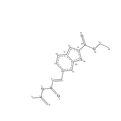 C=C(C)OC(=O)/C=C/c1ccc2cc(C(=O)OCC)sc2c1